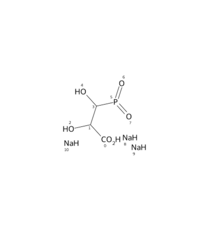 O=C(O)C(O)C(O)P(=O)=O.[NaH].[NaH].[NaH]